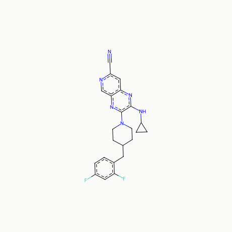 N#Cc1cc2nc(NC3CC3)c(N3CCC(Cc4ccc(F)cc4F)CC3)nc2cn1